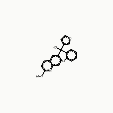 COc1ccc2cc(C(O)(c3ccoc3)c3ccccc3Cl)ccc2n1